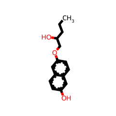 CCCC(O)COc1ccc2cc(O)ccc2c1